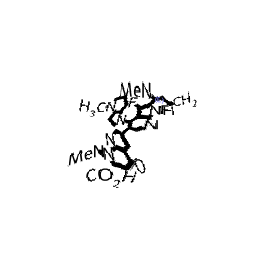 C=C(F)/C=C(/NC)c1[nH]c2ncc(-c3cnc4c(c3)c(=O)c(C(=O)O)cn4NC)c(N3CCC4C3CCCN4C)c2c1F